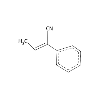 CC=C(C#N)c1ccccc1